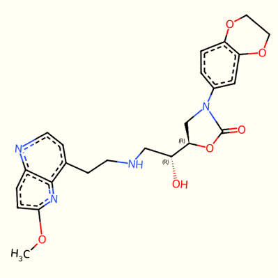 COc1ccc2nccc(CCNC[C@@H](O)[C@H]3CN(c4ccc5c(c4)OCCO5)C(=O)O3)c2n1